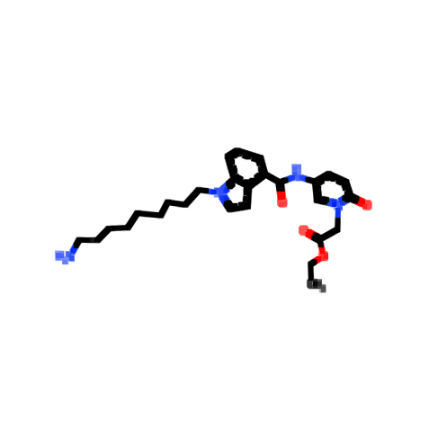 CCOC(=O)Cn1cc(NC(=O)c2cccc3c2ccn3CCCCCCCCCN)ccc1=O